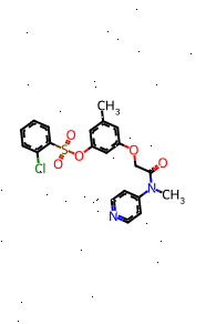 Cc1cc(OCC(=O)N(C)c2ccncc2)cc(OS(=O)(=O)c2ccccc2Cl)c1